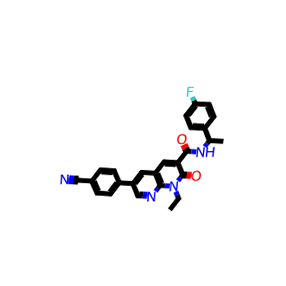 CCn1c(=O)c(C(=O)NC(C)c2ccc(F)cc2)cc2cc(-c3ccc(C#N)cc3)cnc21